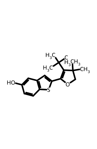 CC(C)(C)C1=C(c2cc3cc(O)ccc3s2)OCC1(C)C